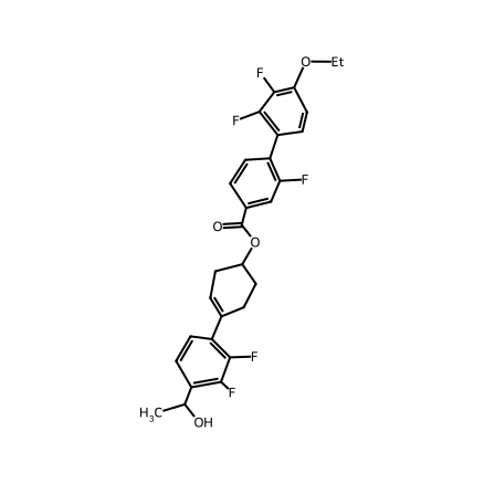 CCOc1ccc(-c2ccc(C(=O)OC3CC=C(c4ccc(C(C)O)c(F)c4F)CC3)cc2F)c(F)c1F